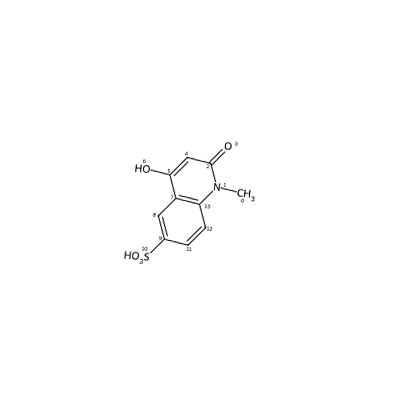 Cn1c(=O)cc(O)c2cc(S(=O)(=O)O)ccc21